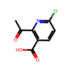 CC(=O)c1nc(Cl)ccc1C(=O)O